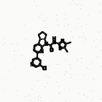 Cc1nc(NC(=O)N2c3nc(-c4cncc(Cl)c4)ccc3C3CCCC32)sc1C